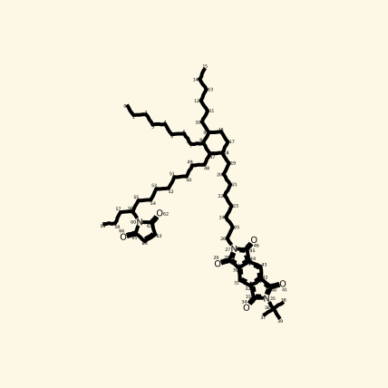 CCCCCCCCC1C(CCCCCC)CCC(CCCCCCCCn2c(=O)c3cc4c(=O)n(C(C)(C)C)c(=O)c4cc3c2=O)C1CCCCCCCCC(CCC)N1C(=O)C=CC1=O